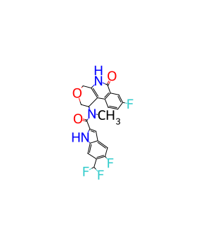 CN(C(=O)c1cc2cc(F)c(C(F)F)cc2[nH]1)[C@H]1COCc2[nH]c(=O)c3cc(F)ccc3c21